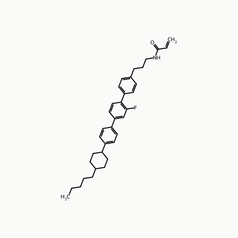 C=CC(=O)NCCCc1ccc(-c2ccc(-c3ccc(C4CCC(CCCCC)CC4)cc3)cc2F)cc1